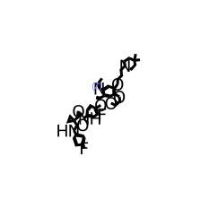 C=C(Oc1ccc(NC(=O)C2(C(=O)Nc3ccc(F)cc3)CC2)cc1F)c1c(/N=C\C)cc(OCCCN2CCC(C)(C)CC2)c2c1OCCO2